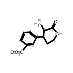 CCOC(=O)c1cccc(C2CCNC(=O)C2C)c1